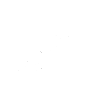 CN(Cc1cccc(-c2cc3c(nc(N(C)C(=O)OC(C)(C)C)c4ncn(C)c43)[nH]2)c1)C(=O)OC(C)(C)C